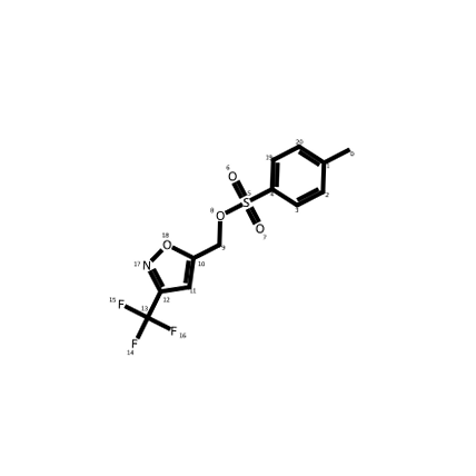 Cc1ccc(S(=O)(=O)OCc2cc(C(F)(F)F)no2)cc1